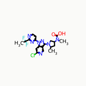 CC1CC(N(C)C(=O)O)CN1c1nn(-c2ccnc(C(C)(F)F)n2)c2cc(Cl)ncc12